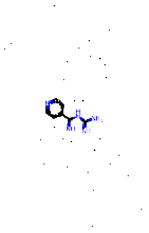 N=C(N)NC(=N)c1ccncc1